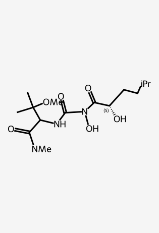 CNC(=O)C(NC(=O)N(O)C(=O)[C@@H](O)CCC(C)C)C(C)(C)OC